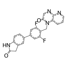 O=C1Cc2cc(-c3cc(F)c(Cn4c(=O)cnc5ncccc54)c(F)c3)ccc2N1